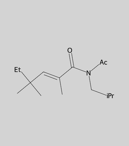 CCC(C)(C)/C=C(\C)C(=O)N(CC(C)C)C(C)=O